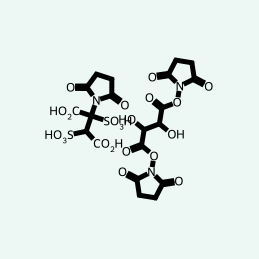 O=C(O)C(C(C(=O)O)(N1C(=O)CCC1=O)S(=O)(=O)O)S(=O)(=O)O.O=C(ON1C(=O)CCC1=O)C(O)C(O)C(=O)ON1C(=O)CCC1=O